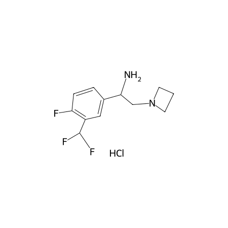 Cl.NC(CN1CCC1)c1ccc(F)c(C(F)F)c1